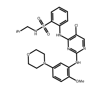 COc1ccc(N2CCOCC2)cc1Nc1ncc(Cl)c(Nc2ccccc2S(=O)(=O)NCC(C)C)n1